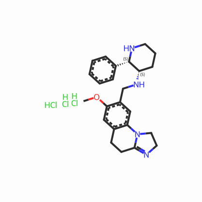 COc1cc2c(cc1CN[C@H]1CCCN[C@H]1c1ccccc1)N1CCN=C1CC2.Cl.Cl.Cl